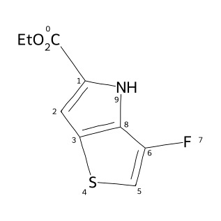 CCOC(=O)c1cc2scc(F)c2[nH]1